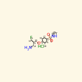 CC(C)NS(=O)(=O)c1ccc(OC/C(=C\F)CN)cc1.Cl